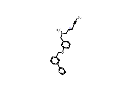 CN(C/C=C/C#CC(C)(C)C)Cc1cccc(OCc2cccc(-c3cccs3)c2)c1